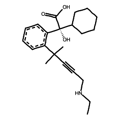 CCNCC#CC(C)(C)c1ccccc1[C@@](O)(C(=O)O)C1CCCCC1